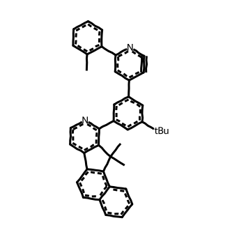 Cc1ccccc1-c1cc(-c2cc(-c3nccc4c3C(C)(C)c3c-4ccc4ccccc34)cc(C(C)(C)C)c2)c#cn1